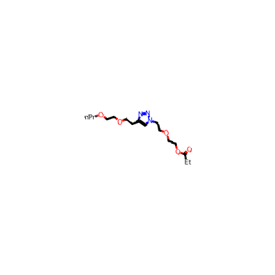 CCCOCCOCCc1cn(CCOCCOC(=O)CC)nn1